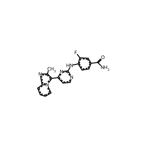 Cc1nc2ccccn2c1-c1ccnc(Nc2ccc(C(N)=O)cc2F)n1